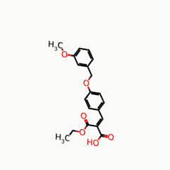 CCOC(=O)C(=Cc1ccc(OCc2cccc(OC)c2)cc1)C(=O)O